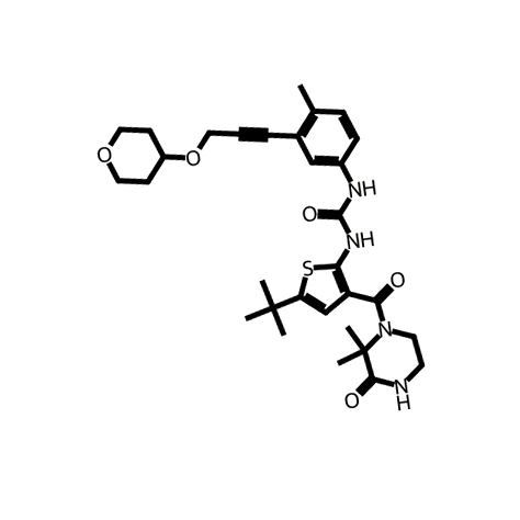 Cc1ccc(NC(=O)Nc2sc(C(C)(C)C)cc2C(=O)N2CCNC(=O)C2(C)C)cc1C#CCOC1CCOCC1